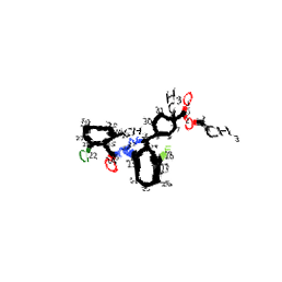 CCOC(=O)C1(C)CC=C(c2nn(C(=O)c3c(C)cccc3Cl)c3cccc(F)c23)CC1